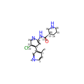 Cc1ccncc1-c1cc(NC(=O)[C@@H]2CCCNC2)ncc1Cl